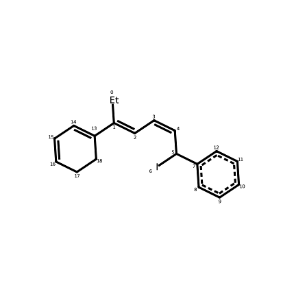 CC/C(=C\C=C/C(I)c1ccccc1)C1=CC=CCC1